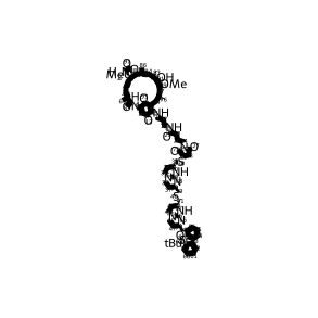 CO[C@H]1C=CC=C(C)C(=O)NC2=CC(=O)C(NCCCNC(=O)CCCN3C(=O)CC(SC[C@H]4CCN5CC[C@H](CSC[C@H]6CCN7CC[C@H](CO[Si](c8ccccc8)(c8ccccc8)C(C)(C)C)N=C7N6)N=C5N4)C3=O)=C(C[C@@H](C)C[C@H](OC)[C@H](O)[C@@H](C)C=C(C)[C@@H]1OC(N)=O)C2=O